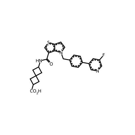 O=C(NC1CC2(C1)CC(C(=O)O)C2)c1csc2ccn(Cc3ccc(-c4cncc(F)c4)cc3)c12